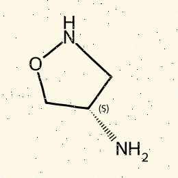 N[C@H]1CNOC1